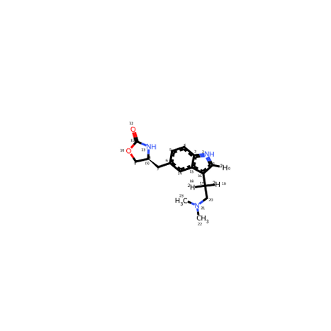 [2H]c1[nH]c2ccc(C[C@H]3COC(=O)N3)cc2c1C([2H])([2H])CN(C)C